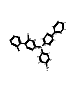 Cc1ccccc1-c1ccc(N(c2ccc(Br)cc2)c2ccc(-c3ccccc3)cc2)cc1C